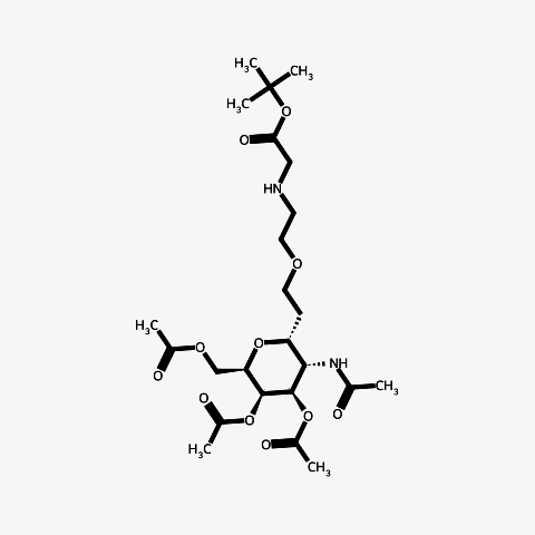 CC(=O)N[C@@H]1[C@@H](OC(C)=O)[C@@H](OC(C)=O)[C@@H](COC(C)=O)O[C@@H]1CCOCCNCC(=O)OC(C)(C)C